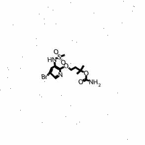 CC(C)(CCOc1ncc(Br)cc1NS(C)(=O)=O)OC(N)=O